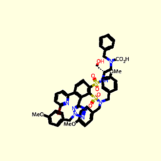 COc1ccc(CN(Cc2ccc(OC)cc2)S(=O)(=O)c2c(S(=O)(=O)N[C@H](CO)CN(Cc3ccccc3)C(=O)O)ccc(-c3cccc(Br)n3)c2-c2nnn(Cc3ccc(OC)cc3)n2)cc1